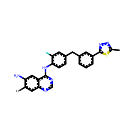 CCc1cc2ncnc(Nc3ccc(Cc4cccc(-c5nnc(C)s5)c4)cc3F)c2cc1N